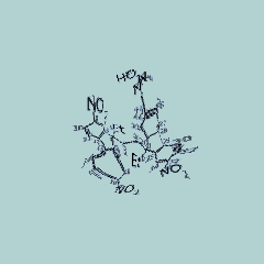 CCC1(CCC2(CC)c3cc([N+](=O)[O-])ccc3-c3ccc([N+](=O)[O-])cc32)c2cc(/N=N/O)ccc2-c2ccc([N+](=O)[O-])cc21